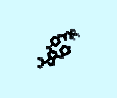 CC(C)n1cnc2c(NC3CCNCC3)nc(N[C@H]3CC[C@H](NC(=O)OC(C)(C)C)CC3)nc21